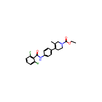 CCOC(=O)N1CCC(c2ccc(NC(=O)c3c(F)cccc3F)cc2)=C(C)C1